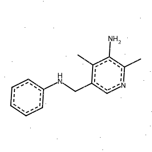 Cc1ncc(CNc2ccccc2)c(C)c1N